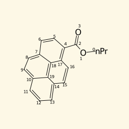 CCCOC(=O)c1ccc2ccc3cccc4ccc1c2c34